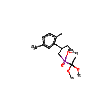 CCOC(C)(OCC)P(=O)(CC(C[N+](=O)[O-])c1cc([N+](=O)[O-])ccc1C)OCC